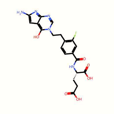 Nc1cc2c(O)n(CCc3ccc(C(=O)N[C@@H](CCC(=O)O)C(=O)O)cc3F)cnc-2n1